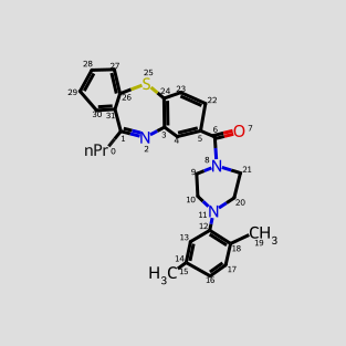 CCCC1=Nc2cc(C(=O)N3CCN(c4cc(C)ccc4C)CC3)ccc2Sc2ccccc21